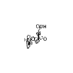 CO[C@H]1C[C@@H](c2ncc(CCC(=O)O)s2)N(C(=O)Cc2cc(Cl)c(Nc3nc4ccccc4o3)cc2Cl)C1